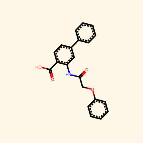 O=C(COc1ccccc1)Nc1cc(-c2ccccc2)ccc1C(=O)O